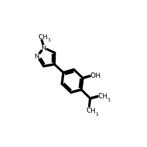 CC(C)c1ccc(-c2cnn(C)c2)cc1O